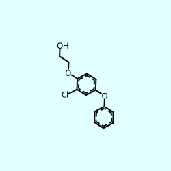 OCCOc1ccc(Oc2ccccc2)cc1Cl